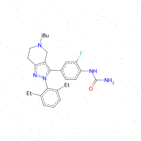 CCc1cccc(CC)c1-n1nc2c(c1-c1ccc(NC(N)=O)c(F)c1)CN(C(C)CC)CC2